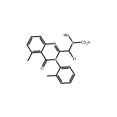 CCC(c1nc2cccc(C)c2c(=O)n1-c1ccccc1C)N(C(=O)O)C(C)(C)C